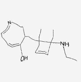 CCNC1(C)C=CC1(C)C1CN=CC=C1O